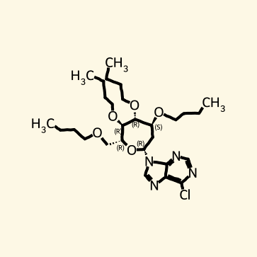 CCCCOC[C@H]1O[C@@H](n2cnc3c(Cl)ncnc32)C[C@H](OCCCC)[C@@H](OCCCC)[C@@H]1OCCCC